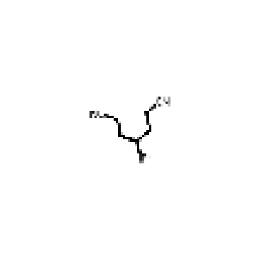 CC(C)C(CCC#N)CCC#N